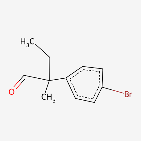 CCC(C)(C=O)c1ccc(Br)cc1